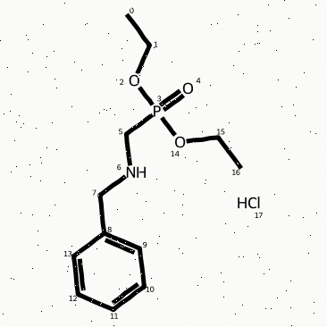 CCOP(=O)(CNCc1ccccc1)OCC.Cl